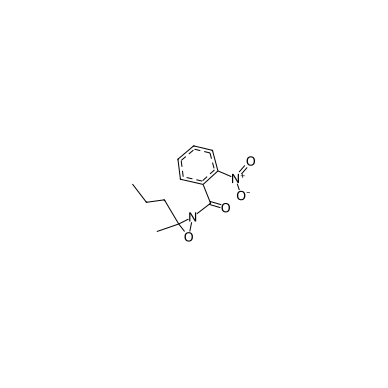 CCCC1(C)ON1C(=O)c1ccccc1[N+](=O)[O-]